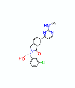 CC(C)Nc1nccc(-c2ccc3c(c2)C(=O)N(C(CO)c2cccc(Cl)c2)C3)n1